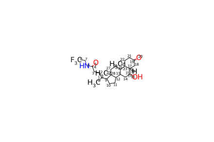 CC(CCC(=O)NCC(F)(F)F)C1CCC2C3C[C@H](O)[C@@H]4CC(=O)CCC4(C)C3CCC12C